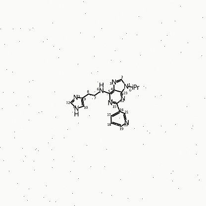 CC(C)n1cnc2c(NCCc3c[nH]cn3)nc(-c3cccnc3)nc21